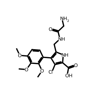 COc1ccc(-c2c(CNC(=O)CN)[nH]c(C(=O)O)c2Cl)c(OC)c1OC